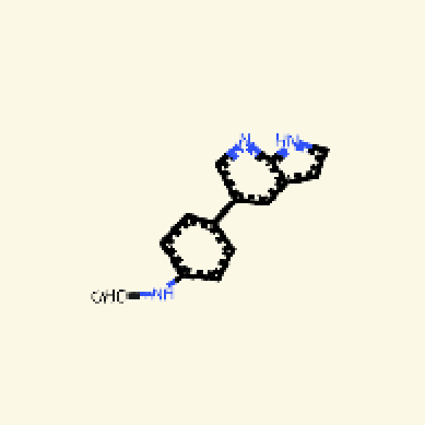 O=CNc1ccc(-c2cnc3[nH]ccc3c2)cc1